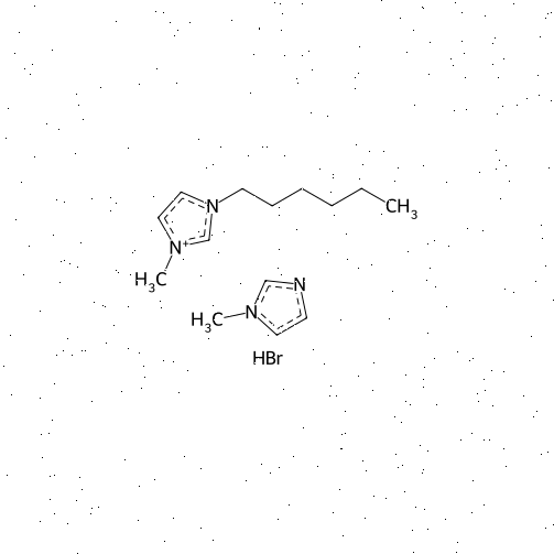 Br.CCCCCCn1cc[n+](C)c1.Cn1ccnc1